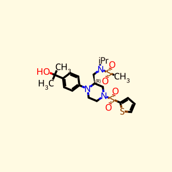 CC(C)N(C[C@H]1CN(S(=O)(=O)c2cccs2)CCN1c1ccc(C(C)(C)O)cc1)S(C)(=O)=O